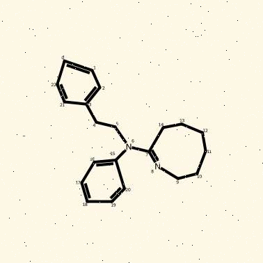 c1ccc(CCN(C2=NCCCCCC2)c2ccccc2)cc1